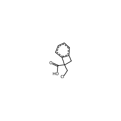 O=C(O)C1(CCl)Cc2ccccc21